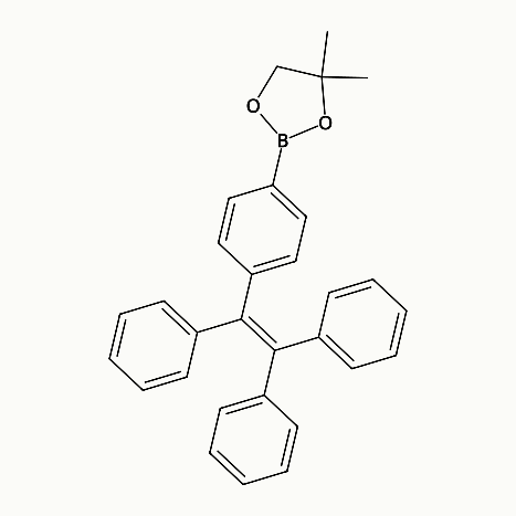 CC1(C)COB(c2ccc(C(=C(c3ccccc3)c3ccccc3)c3ccccc3)cc2)O1